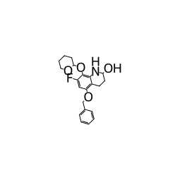 OC1CCc2c(OCc3ccccc3)cc(F)c(OC3CCCCO3)c2N1